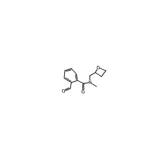 CN(CC1CCO1)C(=O)c1ccccc1C=O